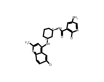 Nc1cnc(Cl)c(C(=O)N[C@@H]2CCC[C@H](Nc3cc(C(F)(F)F)nc4ccc(Cl)cc34)C2)c1